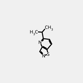 CC(C)c1ccc2sncc2n1